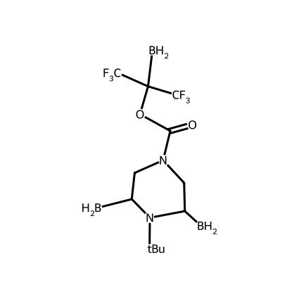 BC1CN(C(=O)OC(B)(C(F)(F)F)C(F)(F)F)CC(B)N1C(C)(C)C